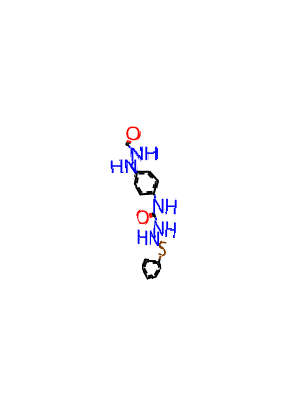 O=CNNc1ccc(NC(=O)NNSc2ccccc2)cc1